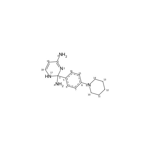 NC1=NC(N)(c2ccc(N3CCCCC3)cc2)NC=C1